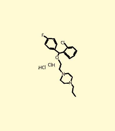 CCCN1CCN(CCOC(c2ccc(F)cc2)c2ccccc2Cl)CC1.Cl.Cl